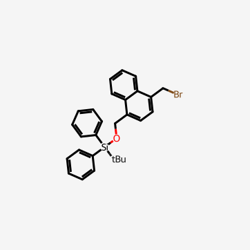 CC(C)(C)[Si](OCc1ccc(CBr)c2ccccc12)(c1ccccc1)c1ccccc1